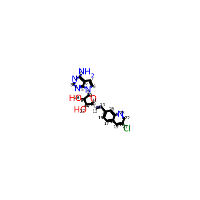 Nc1ncnc2c1ccn2[C@@H]1O[C@H](/C=C/c2ccc3cc(Cl)cnc3c2)[C@@H](O)[C@H]1O